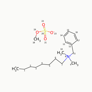 CCCCCCCC[N+](C)(C)Cc1ccccc1.COS(=O)(=O)[O-]